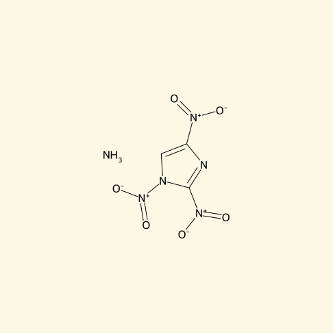 N.O=[N+]([O-])c1cn([N+](=O)[O-])c([N+](=O)[O-])n1